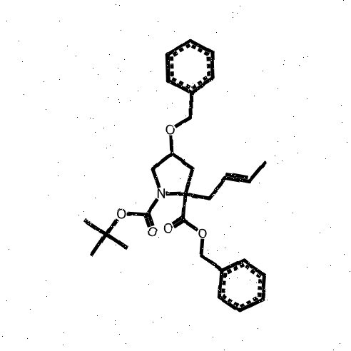 CC=CCC1(C(=O)OCc2ccccc2)CC(OCc2ccccc2)CN1C(=O)OC(C)(C)C